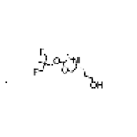 C[C@@H]1N[C@H](CCCO)CO[C@H]1OCC(C)(CF)CF